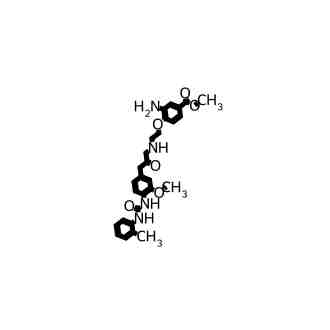 COC(=O)c1ccc(OCCNCC(=O)Cc2ccc(NC(=O)Nc3ccccc3C)c(OC)c2)c(N)c1